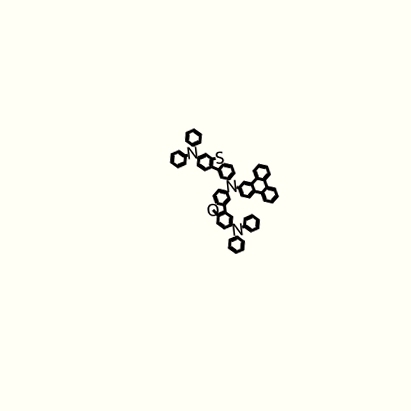 c1ccc(N(c2ccccc2)c2ccc3c(c2)sc2ccc(N(c4ccc5oc6ccc(N(c7ccccc7)c7ccccc7)cc6c5c4)c4ccc5c6ccccc6c6ccccc6c5c4)cc23)cc1